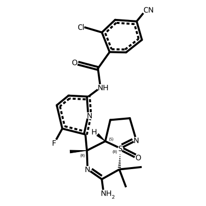 CC1(C)C(N)=N[C@](C)(c2nc(NC(=O)c3ccc(C#N)cc3Cl)ccc2F)[C@@H]2CCN=[S@@]21=O